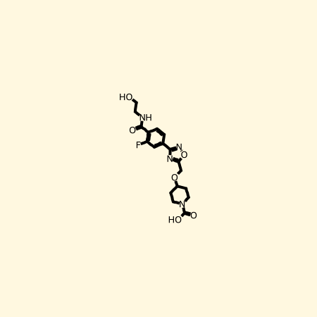 O=C(NCCO)c1ccc(-c2noc(COC3CCN(C(=O)O)CC3)n2)cc1F